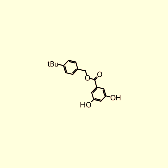 CC(C)(C)c1ccc(COC(=O)c2cc(O)cc(O)c2)cc1